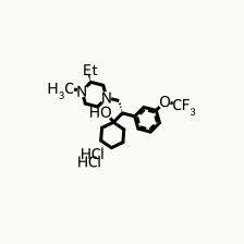 CC[C@@H]1CN(C[C@H](c2cccc(OC(F)(F)F)c2)C2(O)CCCCC2)CCN1C.Cl.Cl